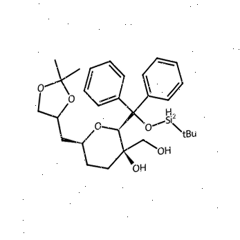 CC1(C)OCC(C[C@@H]2CC[C@@](O)(CO)[C@H](C(O[SiH2]C(C)(C)C)(c3ccccc3)c3ccccc3)O2)O1